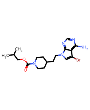 CC(C)COC(=O)N1CCC(CCn2cc(Br)c3c(N)ncnc32)CC1